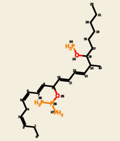 CC/C=C\C/C=C\C=C\C(/C=C/C=C/C(C)C(CCCCCC)OP)OP(P)P